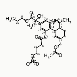 C=C(C)C1CCC(COC(C)=O)=CC1c1c(O)cc(C(C)(C)C(=O)OCCC)cc1OC(=O)CCCO[N+](=O)[O-]